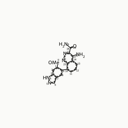 COc1cc2[nH]ncc2cc1-c1cccc2c(N)c(C(N)=O)nnc12